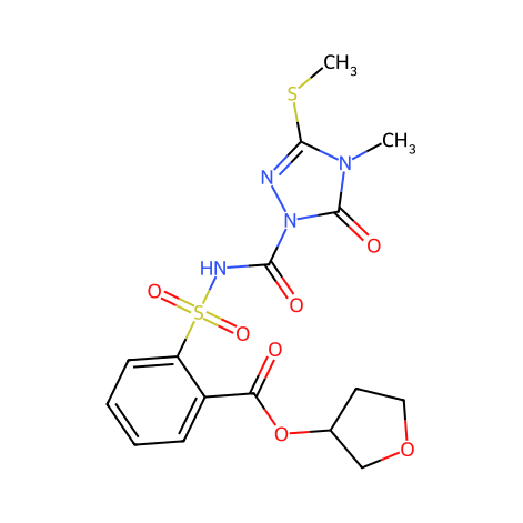 CSc1nn(C(=O)NS(=O)(=O)c2ccccc2C(=O)OC2CCOC2)c(=O)n1C